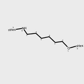 [CH2]CCCCCOCCCCCCNCCCCCC